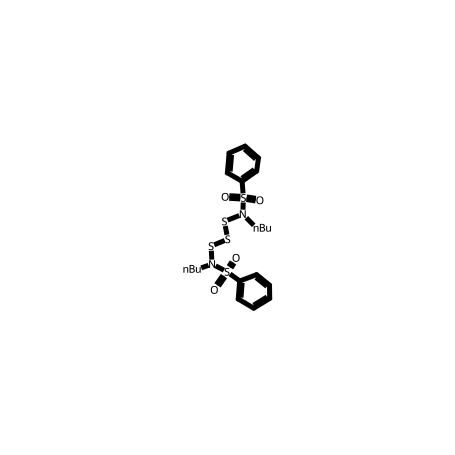 CCCCN(SSSN(CCCC)S(=O)(=O)c1ccccc1)S(=O)(=O)c1ccccc1